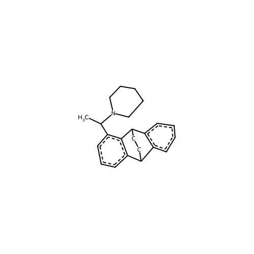 CC(c1cccc2c1C1CCC2c2ccccc21)N1CCCCC1